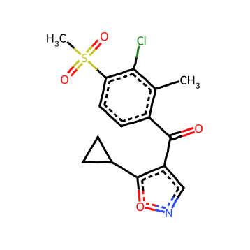 Cc1c(C(=O)c2cnoc2C2CC2)ccc(S(C)(=O)=O)c1Cl